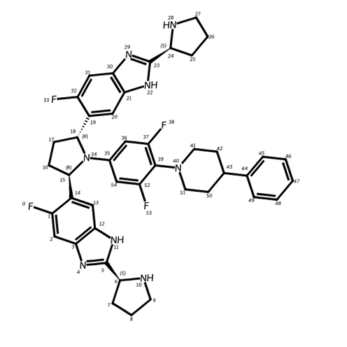 Fc1cc2nc([C@@H]3CCCN3)[nH]c2cc1[C@H]1CC[C@H](c2cc3[nH]c([C@@H]4CCCN4)nc3cc2F)N1c1cc(F)c(N2CCC(c3ccccc3)CC2)c(F)c1